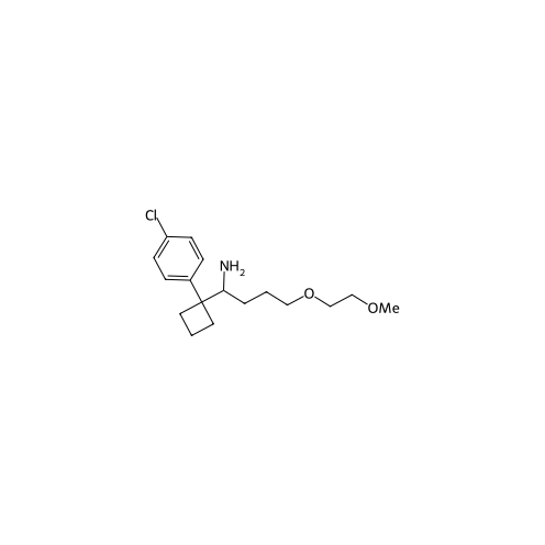 COCCOCCCC(N)C1(c2ccc(Cl)cc2)CCC1